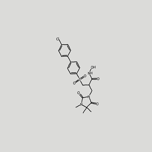 CN1C(=O)N(CC(CS(=O)(=O)c2ccc(-c3ccc(Cl)cc3)cc2)C(=O)NO)C(=O)C1(C)C